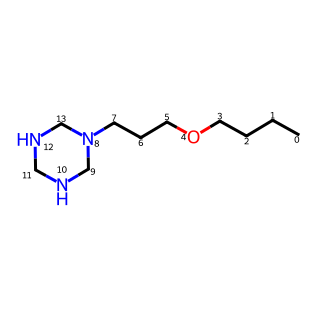 CCCCOCCCN1CNCNC1